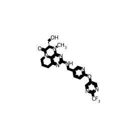 CN1c2nc(NCc3ccc(Oc4cnc(C(F)(F)F)nc4)nc3)nc3c2N(CCC3)C(=O)[C@@H]1CO